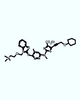 CCOC(=O)c1nc(N(C)c2cc(C)c(/N=c3\sc4ccccc4n3COCC[Si](C)(C)C)nn2)sc1C#CCOC1CCCCC1